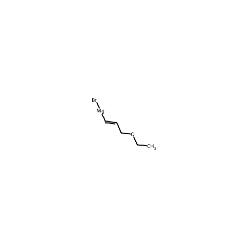 CCOCC=[CH][Mg][Br]